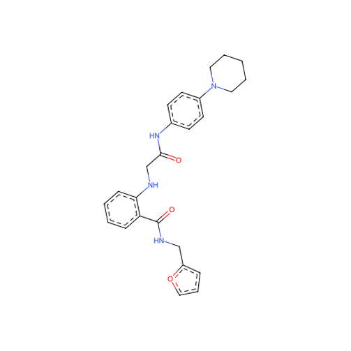 O=C(CNc1ccccc1C(=O)NCc1ccco1)Nc1ccc(N2CCCCC2)cc1